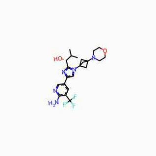 CC(C)[C@@H](O)c1nc(-c2cnc(N)c(C(F)(F)F)c2)cn1C12CC(N3CCOCC3)(C1)C2